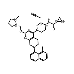 Cc1cccc2cccc(N3CCc4c(nc(OC[C@@H]5CCCN5C)nc4N4CC[C@H](NC(=O)[C@H]5CN5)[C@@H](CC#N)C4)C3)c12